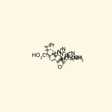 CC(C)[C@@H](C)[C@@]1(C)CC[C@]2(C)[C@H]3CC[C@@H]4[C@@]5(COC[C@@]4(C)[C@@H](OC[C@](C)(N)C(C)(C)C)[C@H](n4ncnc4-c4ccc(O)nc4)C5)C3=CC[C@@]2(C)[C@@H]1C(=O)O